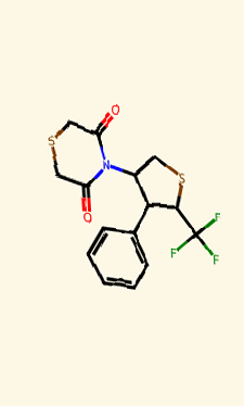 O=C1CSCC(=O)N1C1CSC(C(F)(F)F)C1c1ccccc1